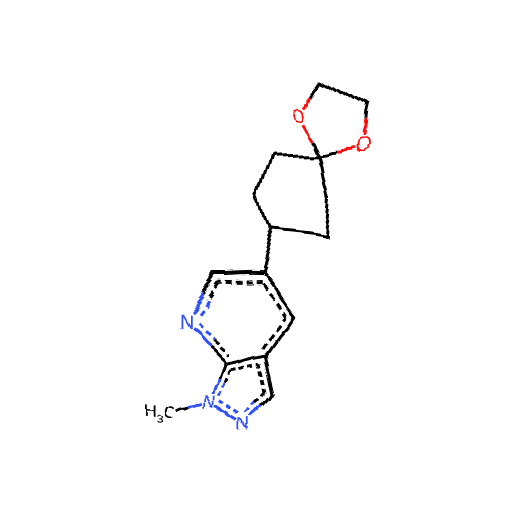 Cn1ncc2cc(C3CCC4(CC3)OCCO4)cnc21